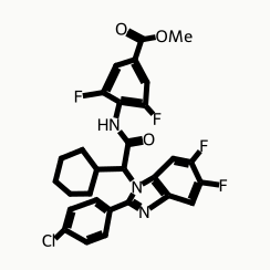 COC(=O)c1cc(F)c(NC(=O)C(C2CCCCC2)n2c(-c3ccc(Cl)cc3)nc3cc(F)c(F)cc32)c(F)c1